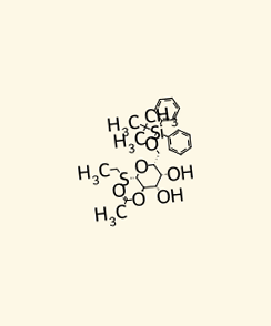 CCS[C@@H]1O[C@H](CO[Si](c2ccccc2)(c2ccccc2)C(C)(C)C)[C@H](O)[C@H](O)[C@H]1OC(C)=O